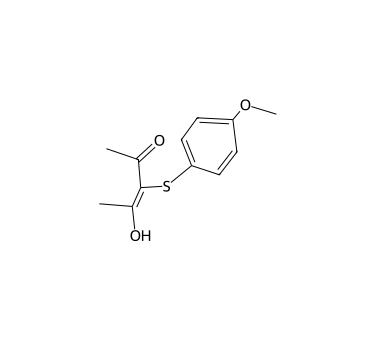 COc1ccc(SC(C(C)=O)=C(C)O)cc1